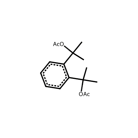 CC(=O)OC(C)(C)c1ccccc1C(C)(C)OC(C)=O